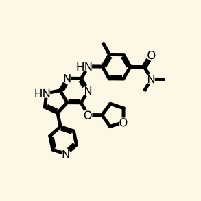 Cc1cc(C(=O)N(C)C)ccc1Nc1nc(OC2CCOC2)c2c(-c3ccncc3)c[nH]c2n1